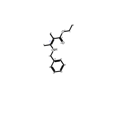 CCOC(=O)/C(C)=C(/C)NCc1ccccc1